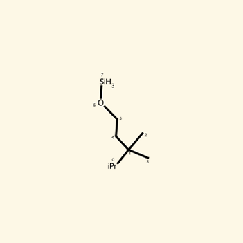 CC(C)C(C)(C)CCO[SiH3]